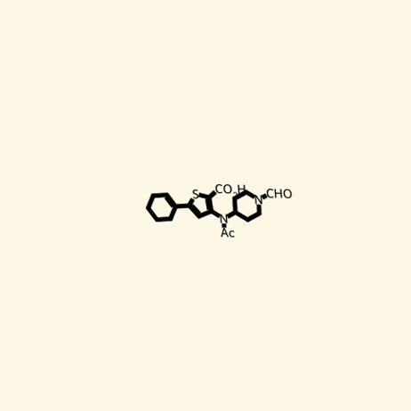 CC(=O)N(c1cc(C2=CCCCC2)sc1C(=O)O)C1CCN(C=O)CC1